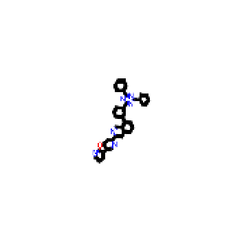 c1ccc(-c2nc(-c3ccccc3)nc(-c3cccc(-c4cccc5cc(-c6cc7oc8ncccc8c7cn6)ncc45)c3)n2)cc1